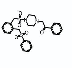 O=C(CN1CCN(S(=O)(=O)Cc2ccccc2CS(=O)(=O)c2ccccc2)CC1)c1ccccc1